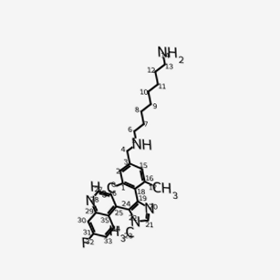 Cc1cc(CNCCCCCCCCN)cc(C)c1-c1ncn(C)c1-c1ccnc2cc(F)ccc12